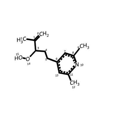 C=C(C)C(CCc1cc(C)nc(C)c1)OO